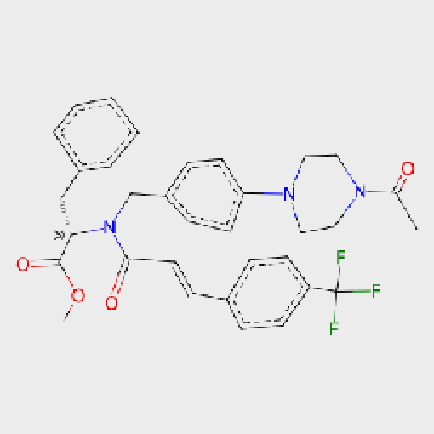 COC(=O)[C@H](Cc1ccccc1)N(Cc1ccc(N2CCN(C(C)=O)CC2)cc1)C(=O)C=Cc1ccc(C(F)(F)F)cc1